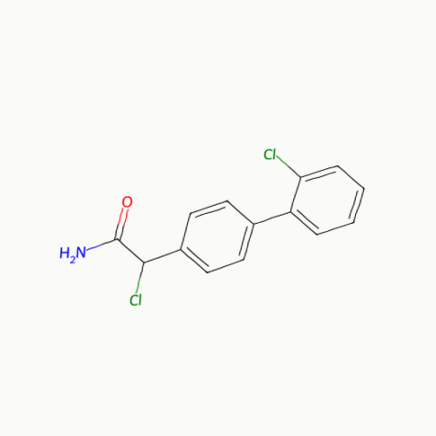 NC(=O)C(Cl)c1ccc(-c2ccccc2Cl)cc1